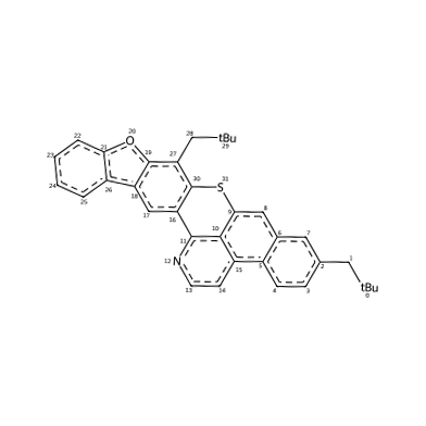 CC(C)(C)Cc1ccc2c(c1)cc1c3c(nccc32)-c2cc3c(oc4ccccc43)c(CC(C)(C)C)c2S1